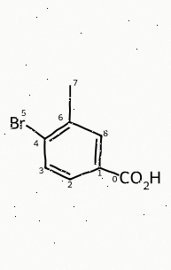 O=C(O)c1ccc(Br)c(I)c1